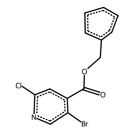 O=C(OCc1ccccc1)c1cc(Cl)ncc1Br